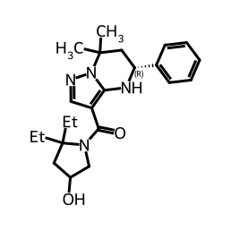 CCC1(CC)CC(O)CN1C(=O)c1cnn2c1N[C@@H](c1ccccc1)CC2(C)C